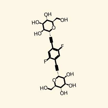 OC[C@H]1O[C@H](C#Cc2cc(F)c(C#C[C@H]3O[C@H](CO)[C@@H](O)[C@H](O)[C@@H]3O)cc2F)[C@@H](O)[C@@H](O)[C@@H]1O